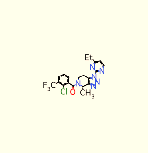 CCc1ccnc(-n2nnc3c2CCN(C(=O)c2cccc(C(F)(F)F)c2Cl)[C@@H]3C)n1